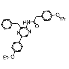 CCOc1ccc(-c2cnc(NC(=O)Cc3ccc(OC(C)C)cc3)c(Cc3ccccc3)n2)cc1